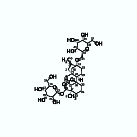 C=C1C[C@@]23CCC4[C@](C)(C(=O)O[C@@H]5OC(CO)[C@@H](O)[C@@H](O)C5O)CCC[C@@]4(C)[C@@H]2CCC1(OC[C@@H]1OC(CO)[C@@H](O)[C@@H](O)C1O)C3